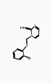 N=c1ncccn1CSc1ccccc1Br